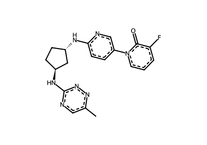 Cc1cnc(N[C@H]2CC[C@H](Nc3ccc(-n4cccc(F)c4=O)cn3)C2)nn1